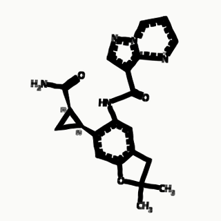 CC1(C)Cc2cc(NC(=O)c3cnn4cccnc34)c([C@H]3C[C@H]3C(N)=O)cc2O1